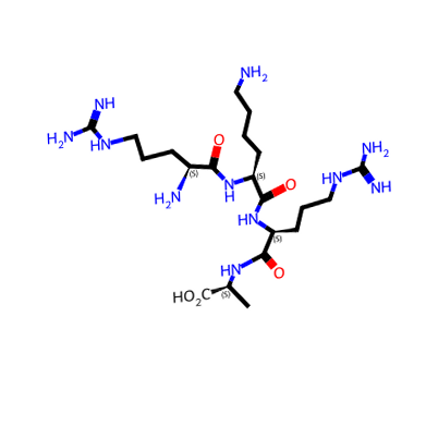 C[C@H](NC(=O)[C@H](CCCNC(=N)N)NC(=O)[C@H](CCCCN)NC(=O)[C@@H](N)CCCNC(=N)N)C(=O)O